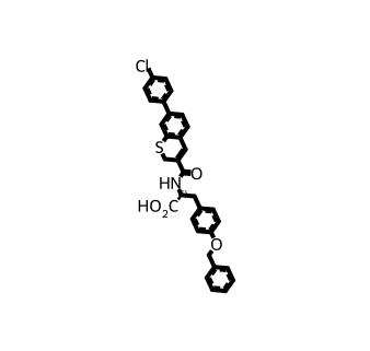 O=C(N[C@@H](Cc1ccc(OCc2ccccc2)cc1)C(=O)O)C1=Cc2ccc(-c3ccc(Cl)cc3)cc2SC1